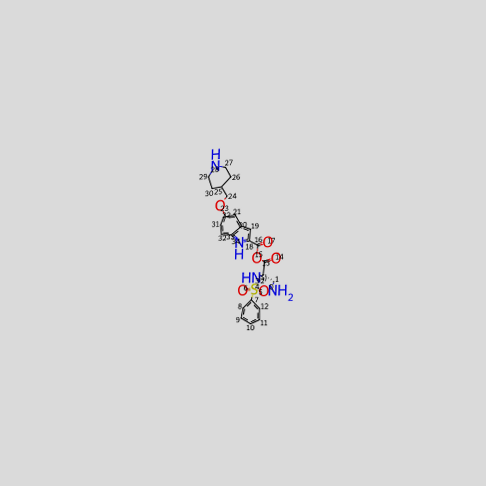 NC[C@H](NS(=O)(=O)c1ccccc1)C(=O)OC(=O)c1cc2cc(OCC3CCNCC3)ccc2[nH]1